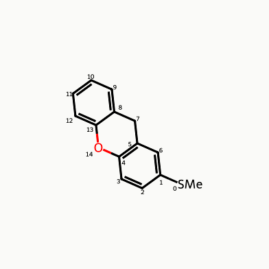 CSc1ccc2c(c1)Cc1ccccc1O2